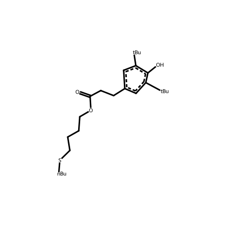 CCCCSCCCCOC(=O)CCc1cc(C(C)(C)C)c(O)c(C(C)(C)C)c1